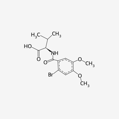 COc1cc(Br)c(C(=O)N[C@@H](C(=O)O)C(C)C)cc1OC